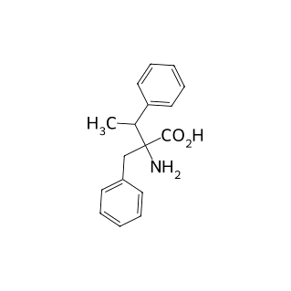 CC(c1ccccc1)C(N)(Cc1ccccc1)C(=O)O